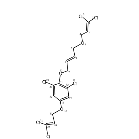 ClC(Cl)=CCOC/C=C/COc1c(Cl)cc(OCC=C(Cl)Cl)cc1Cl